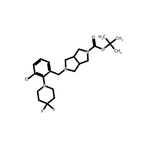 CC(C)(C)OC(=O)N1CC2CN(Cc3cccc(Cl)c3N3CCC(F)(F)CC3)CC2C1